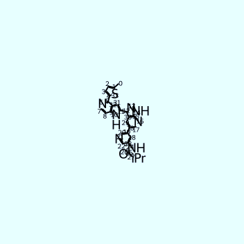 Cc1ccc(-c2nccc3[nH]c(-c4n[nH]c5ncc(-c6cncc(NC(=O)C(C)C)c6)cc45)cc23)s1